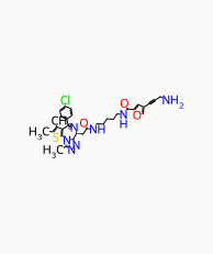 Cc1sc2c(c1C)C(c1ccc(Cl)cc1)=N[C@@H](CC(=O)NCCCCCNC(=O)c1cc(C#CCN)co1)c1nnc(C)n1-2